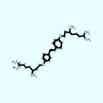 CC(C)CCCC(C)CCOc1ccc(/C=C/c2ccc(OCCC(C)CCCC(C)C)cc2)cc1